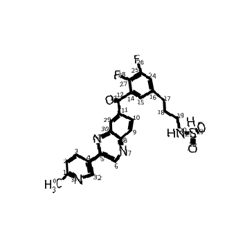 Cc1ccc(-c2cnc3ccc(C(=O)c4cc(CCCN[SH](=O)=O)cc(F)c4F)cc3n2)cn1